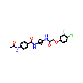 CC(=O)Nc1ccc(C(=O)NC23CC(NC(=O)COc4ccc(Cl)c(F)c4)(C2)C3)cc1